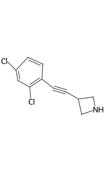 Clc1ccc(C#CC2CNC2)c(Cl)c1